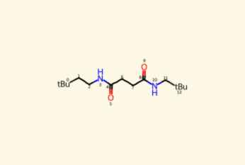 CC(C)(C)CCNC(=O)CCC(=O)NCC(C)(C)C